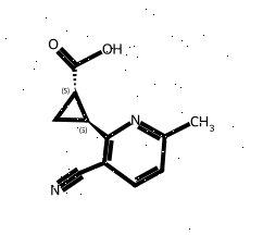 Cc1ccc(C#N)c([C@H]2C[C@@H]2C(=O)O)n1